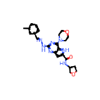 Cc1cccc(/C=N/Nc2nc(N3CCOCC3)c3[nH]c(C(=O)NC4CCOC4)cc3n2)c1